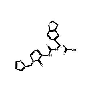 O=C(O)C[C@H](NC(=O)Nc1cccn(Cc2cccs2)c1=O)c1ccc2c(c1)CCO2